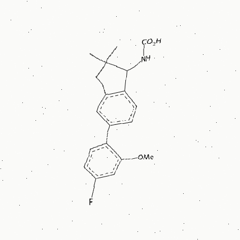 COc1cc(F)ccc1-c1ccc2c(c1)CC(C)(C)C2NC(=O)O